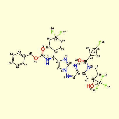 O=C(N[C@H](c1cn2ncc(C3CC(O)(C(F)(F)F)CCN3C(=O)C34CC(F)(C3)C4)nc2n1)C1CCC(F)(F)CC1)OCc1ccccc1